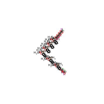 CCOC(=O)C(CC)[S+](C)c1ccc2ccccc2c1.CCOC(=O)C(CC)[S+](C)c1ccc2ccccc2c1.CCOC(=O)C(CC)[S+](C)c1ccc2ccccc2c1.CCOC(=O)C(CC)[S+](C)c1ccc2ccccc2c1.CCOC(=O)C(CC)[S+](C)c1ccc2ccccc2c1.CCOC(=O)C(CC)[S+](C)c1ccc2ccccc2c1.O=[PH]([O-])F.O=[PH]([O-])F.O=[PH]([O-])F.O=[PH]([O-])F.O=[PH]([O-])F.O=[PH]([O-])F